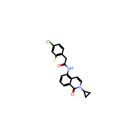 O=C(Cc1ccc(Cl)cc1F)Nc1cccc2c(=O)n(C3CC3)ccc12